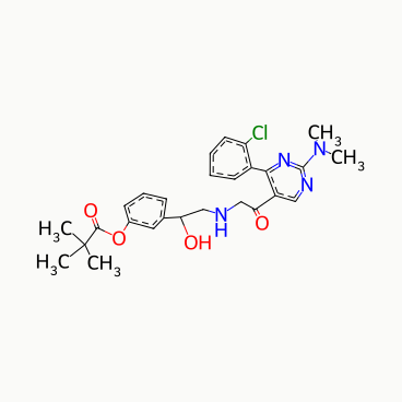 CN(C)c1ncc(C(=O)CNCC(O)c2cccc(OC(=O)C(C)(C)C)c2)c(-c2ccccc2Cl)n1